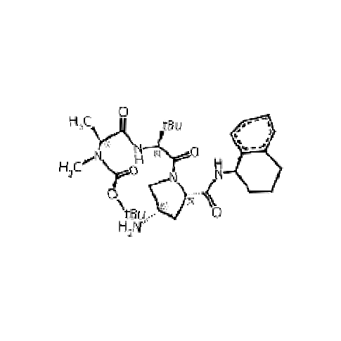 C[C@@H](C(=O)N[C@H](C(=O)N1C[C@@H](N)C[C@H]1C(=O)NC1CCCc2ccccc21)C(C)(C)C)N(C)C(=O)OC(C)(C)C